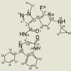 CCn1ncc(C(=O)N[C@H]2N=C(c3ccccc3)c3ccccc3NC2=O)c1-c1ccc(NC2CC2)nc1F